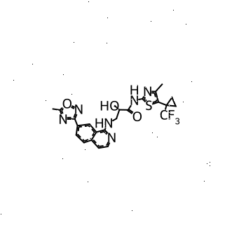 Cc1nc(-c2ccc3ccnc(NC[C@@H](O)C(=O)Nc4nc(C)c(C5(C(F)(F)F)CC5)s4)c3c2)no1